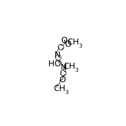 CCCCOc1ccc(N(C)CCC2(O)CCN(Cc3ccc(C(=O)OC)cc3)CC2)cc1